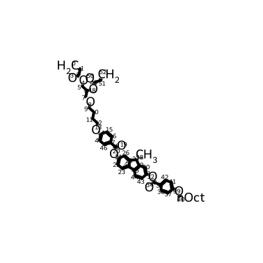 C=CC(=O)OCC(COCCCCOc1ccc(C(=O)Oc2ccc3c(c2)C(C)c2cc(OC(=O)c4ccc(OCCCCCCCC)cc4)ccc2-3)cc1)OC(=O)C=C